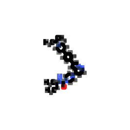 CC[C@H](C)NC(=O)N1CCN(c2ccnn3cc(-c4ccc(C5CCN(C(C)C)CC5)cc4)cc23)CC1